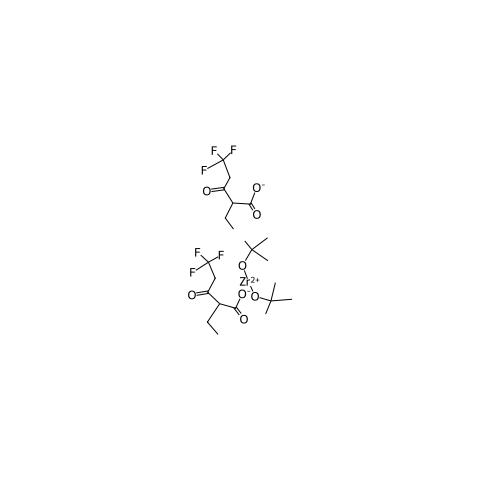 CC(C)(C)[O][Zr+2][O]C(C)(C)C.CCC(C(=O)[O-])C(=O)CC(F)(F)F.CCC(C(=O)[O-])C(=O)CC(F)(F)F